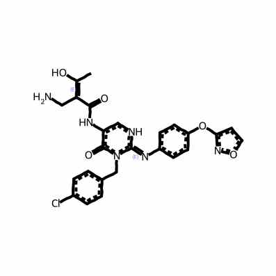 C/C(O)=C(/CN)C(=O)Nc1c[nH]/c(=N\c2ccc(Oc3ccon3)cc2)n(Cc2ccc(Cl)cc2)c1=O